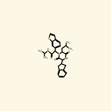 CC(C)CC1C(=O)NC(C2Cc3ccccc3C2)C(=O)N1C(C(=O)NC(C)C)c1ccc2ccoc2c1